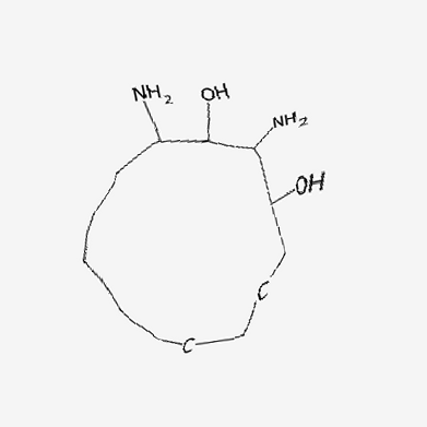 NC1CCCCCCCCCC(O)C(N)C1O